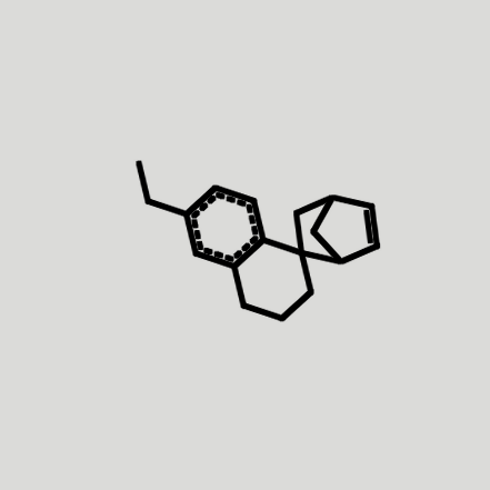 CCc1ccc2c(c1)CCCC21CC2C=CC1C2